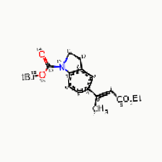 CCOC(=O)C=C(C)c1ccc2c(c1)CCN2C(=O)OC(C)(C)C